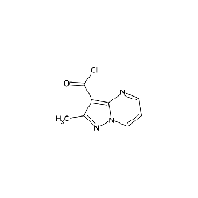 Cc1nn2cccnc2c1C(=O)Cl